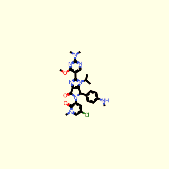 CNc1ccc(C2c3c(nc(-c4cnc(N(C)C)nc4OC)n3C(C)C)C(=O)N2c2cc(Cl)cn(C)c2=O)cc1